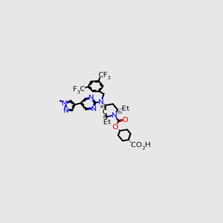 CC[C@@H]1C[C@H](N(Cc2cc(C(F)(F)F)cc(C(F)(F)F)c2)c2ncc(-c3cnn(C)c3)cn2)C[C@H](CC)N1C(=O)O[C@H]1CC[C@@H](C(=O)O)CC1